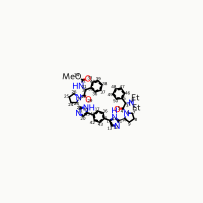 CCN(CC)[C@@H](C(=O)N1CCC[C@H]1c1ncc(-c2ccc(-c3cnc([C@@H]4CCCN4C(=O)[C@H](NC(=O)OC)c4ccccc4)[nH]3)cc2)[nH]1)c1ccccc1